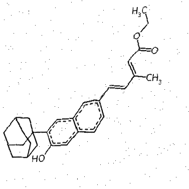 CCOC(=O)C=C(C)C=Cc1ccc2cc(O)c(C34CC5CC(CC(C5)C3)C4)cc2c1